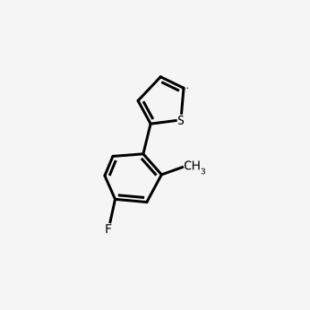 Cc1cc(F)ccc1-c1cc[c]s1